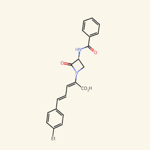 CCc1ccc(/C=C/C=C(\C(=O)O)N2C[C@H](NC(=O)c3ccccc3)C2=O)cc1